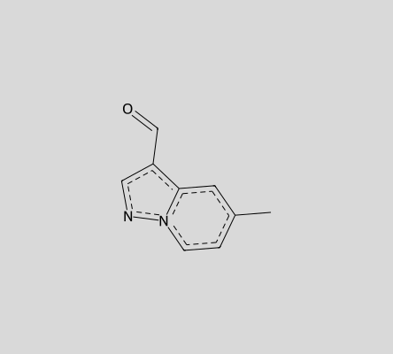 Cc1ccn2ncc(C=O)c2c1